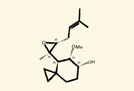 CO[C@@H]1[C@H](O)CCC2(CC2)[C@H]1[C@@]1(C)O[C@@H]1CC=C(C)C